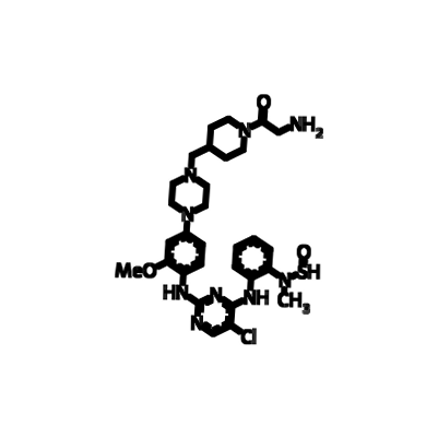 COc1cc(N2CCN(CC3CCN(C(=O)CN)CC3)CC2)ccc1Nc1ncc(Cl)c(Nc2ccccc2N(C)[SH]=O)n1